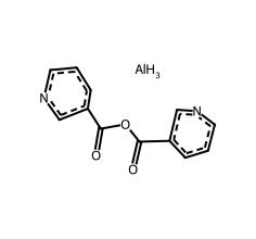 O=C(OC(=O)c1cccnc1)c1cccnc1.[AlH3]